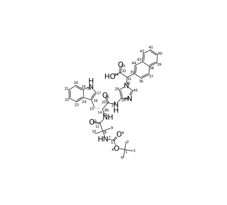 CC(C)(C)OC(=O)NC(C)(C)C(=O)N[C@H](Cc1c[nH]c2ccccc12)C(=O)Nc1cn(C(C(=O)O)c2ccc3ccccc3c2)cn1